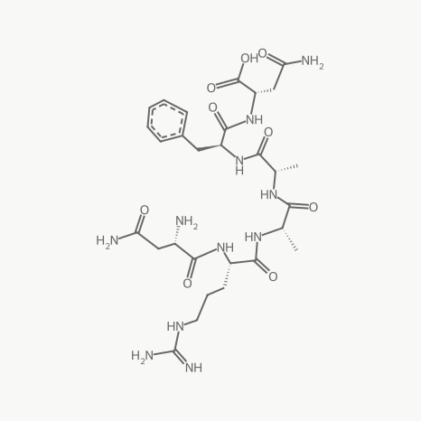 C[C@H](NC(=O)[C@H](C)NC(=O)[C@H](CCCNC(=N)N)NC(=O)[C@@H](N)CC(N)=O)C(=O)N[C@@H](Cc1ccccc1)C(=O)N[C@@H](CC(N)=O)C(=O)O